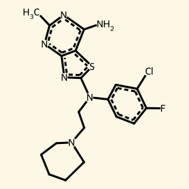 Cc1nc(N)c2sc(N(CCN3CCCCC3)c3ccc(F)c(Cl)c3)nc2n1